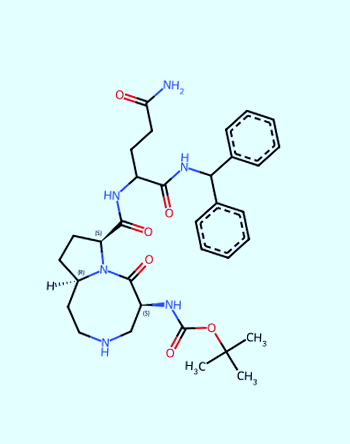 CC(C)(C)OC(=O)N[C@H]1CNCC[C@H]2CC[C@@H](C(=O)NC(CCC(N)=O)C(=O)NC(c3ccccc3)c3ccccc3)N2C1=O